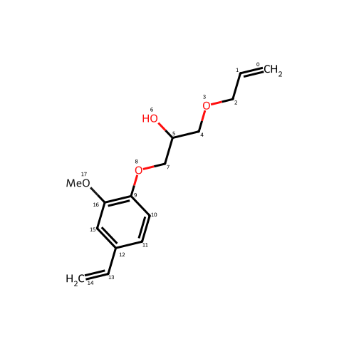 C=CCOCC(O)COc1ccc(C=C)cc1OC